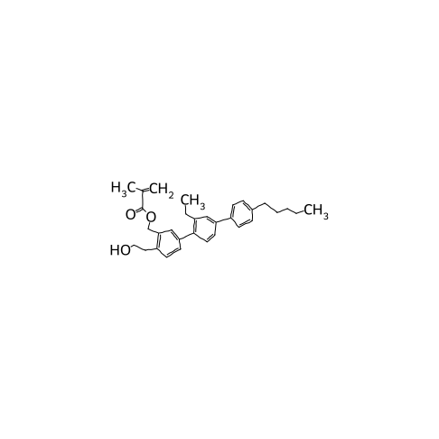 C=C(C)C(=O)OCc1cc(-c2ccc(-c3ccc(CCCCC)cc3)cc2CC)ccc1CCO